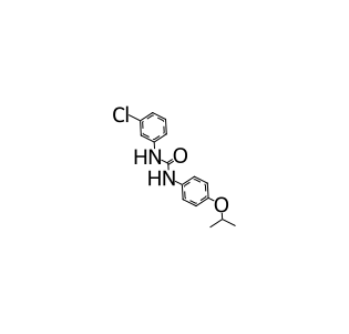 CC(C)Oc1ccc(NC(=O)Nc2cccc(Cl)c2)cc1